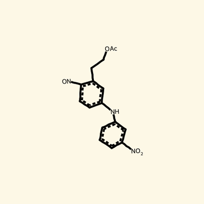 CC(=O)OCCc1cc(Nc2cccc([N+](=O)[O-])c2)ccc1N=O